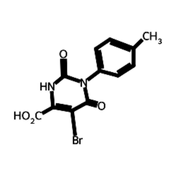 Cc1ccc(-n2c(=O)[nH]c(C(=O)O)c(Br)c2=O)cc1